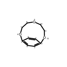 c1cc2ccc1OCCOCCO2